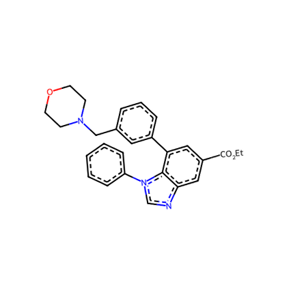 CCOC(=O)c1cc(-c2cccc(CN3CCOCC3)c2)c2c(c1)ncn2-c1ccccc1